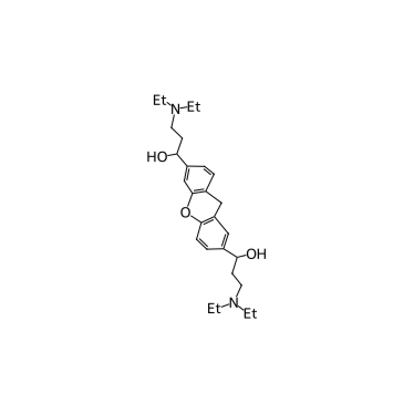 CCN(CC)CCC(O)c1ccc2c(c1)Cc1ccc(C(O)CCN(CC)CC)cc1O2